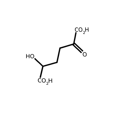 O=C(O)C(=O)CCC(O)C(=O)O